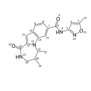 Cc1cc(NC(=O)c2ccc3cc4n(c3c2)C(C)C(C)CNC4=O)no1